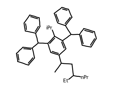 CCCC(CC)CC(C)c1cc(C(c2ccccc2)c2ccccc2)c(C(C)C)c(C(c2ccccc2)c2ccccc2)c1